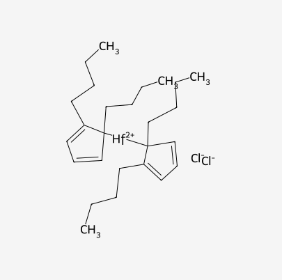 CCCCC1=CC=C[C]1(CCCC)[Hf+2][C]1(CCCC)C=CC=C1CCCC.[Cl-].[Cl-]